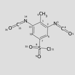 Cc1c(N=C=O)cc(S(=O)(=O)Cl)cc1N=C=O